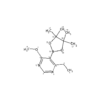 CCc1ncnc(OC)c1B1OC(C)(C)C(C)(C)O1